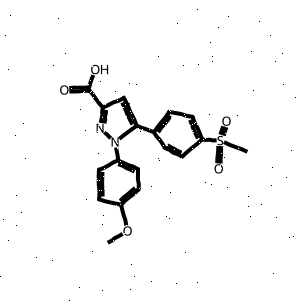 COc1ccc(-n2nc(C(=O)O)cc2-c2ccc(S(C)(=O)=O)cc2)cc1